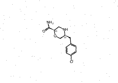 NC(=O)[C@H]1CN[C@@H](Cc2ccc(Cl)cc2)CO1